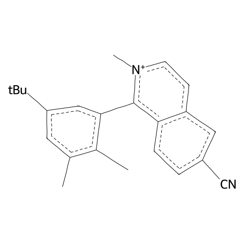 Cc1cc(C(C)(C)C)cc(-c2c3ccc(C#N)cc3cc[n+]2C)c1C